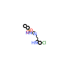 O=S(=O)(NC1CCN(CCCc2c[nH]c3ccc(Cl)cc23)C1)c1ccc2ccccc2c1